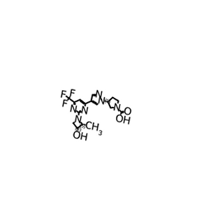 C[C@H]1[C@H](O)CN1c1nc(-c2cnn([C@H]3CCN(C(=O)O)C3)c2)cc(C(F)(F)F)n1